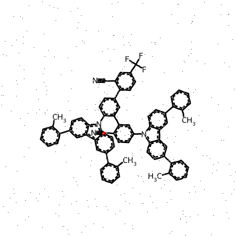 Cc1ccccc1-c1ccc2c(c1)c1cc(-c3ccccc3C)ccc1n2-c1ccc(C#N)c(-c2cc(-c3ccc(C(F)(F)F)cc3C#N)ccc2-n2c3ccc(-c4ccccc4C)cc3c3cc(-c4ccccc4C)ccc32)c1